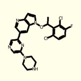 CC(On1ccc2ncc(-c3cncc(N4CCNCC4)n3)cc21)c1c(Cl)ccc(F)c1Cl